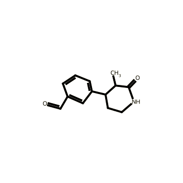 CC1C(=O)NCCC1c1cccc(C=O)c1